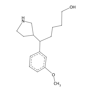 COc1cccc(C(CCCCO)C2CCNC2)c1